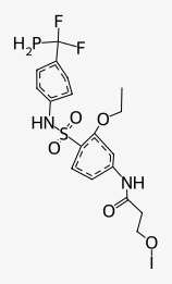 CCOc1cc(NC(=O)CCOI)ccc1S(=O)(=O)Nc1ccc(C(F)(F)P)cc1